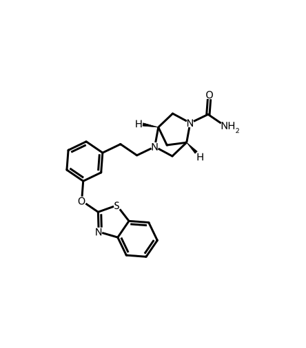 NC(=O)N1C[C@@H]2C[C@H]1CN2CCc1cccc(Oc2nc3ccccc3s2)c1